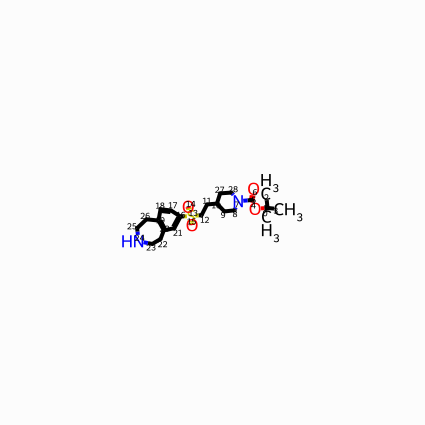 CC(C)(C)OC(=O)N1CCC(CCS(=O)(=O)c2ccc3c(c2)CCNCC3)CC1